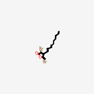 CCCCCCCCCCC1=C(Br)C(=O)O/C1=C\Br